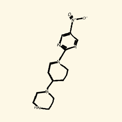 O=[N+]([O-])c1cnc(N2CCC(N3CCNCC3)CC2)nc1